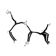 [C-]#[N+]C(C=C)OC(=O)C(=C)C